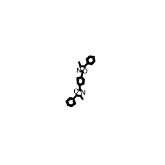 CC1N=C(c2ccc(C3=NC(C)C(c4ccccc4)O3)cc2)OC1c1ccccc1